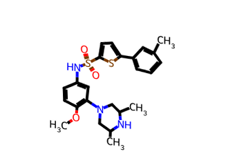 COc1ccc(NS(=O)(=O)c2ccc(-c3cccc(C)c3)s2)cc1N1CC(C)NC(C)C1